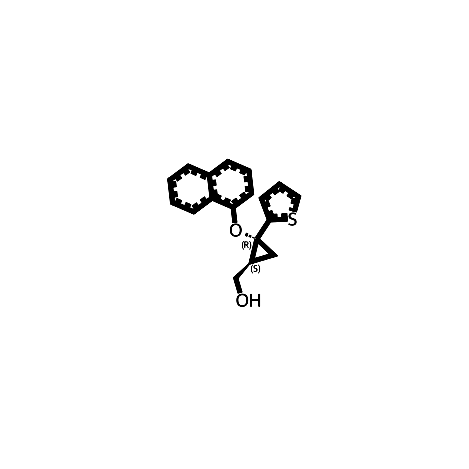 OC[C@@H]1C[C@]1(Oc1cccc2ccccc12)c1cccs1